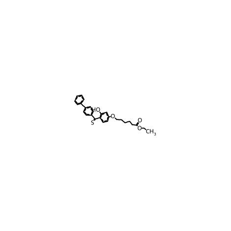 CCOC(=O)CCCCCOc1ccc(C(=S)c2ccc(-c3ccccc3)cc2)c(O)c1